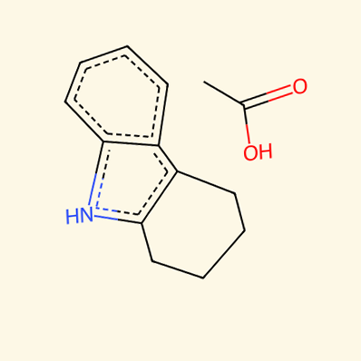 CC(=O)O.c1ccc2c3c([nH]c2c1)CCCC3